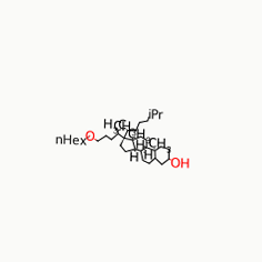 CCCCCCOCCC[C@@H](C)[C@@]1([C@H](C)CCCC(C)C)CC[C@H]2[C@@H]3CCC4C[C@H](O)CC[C@]4(C)[C@H]3CC[C@@]21C